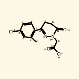 Cc1cc(Cl)ccc1C1=NN(CC(=O)O)C(=O)CC1